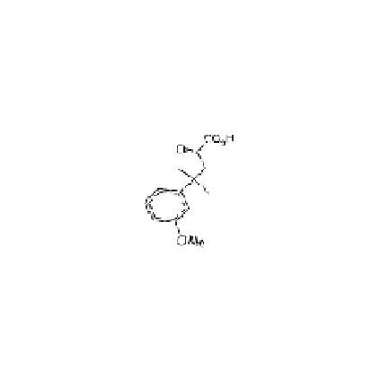 COc1cccc(C(C)(C)CC(=O)C(=O)O)c1